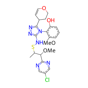 COc1cccc(O)c1-n1c(NSC(C)C(OC)c2ncc(Cl)cn2)nnc1C1C=COCC1